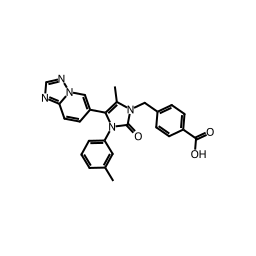 Cc1cccc(-n2c(-c3ccc4ncnn4c3)c(C)n(Cc3ccc(C(=O)O)cc3)c2=O)c1